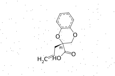 C=CC[C@]1(C(=O)O)COc2ccccc2O1